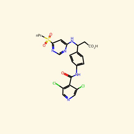 CCCS(=O)(=O)c1cc(NC(CC(=O)O)c2ccc(NC(=O)c3c(Cl)cncc3Cl)cc2)ncn1